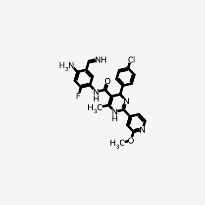 COc1cc(C2=NC(c3ccc(Cl)cc3)C(C(=O)Nc3cc(C=N)c(N)cc3F)=C(C)N2)ccn1